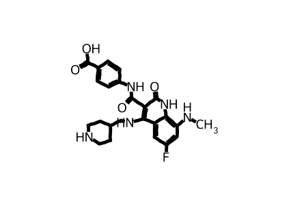 CNc1cc(F)cc2c(NCC3CCNCC3)c(C(=O)Nc3ccc(C(=O)O)cc3)c(=O)[nH]c12